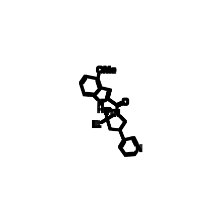 CCC1(C(C)C)CC(c2cccnc2)CN1C(=O)c1cc2c(OC)cccc2[nH]1